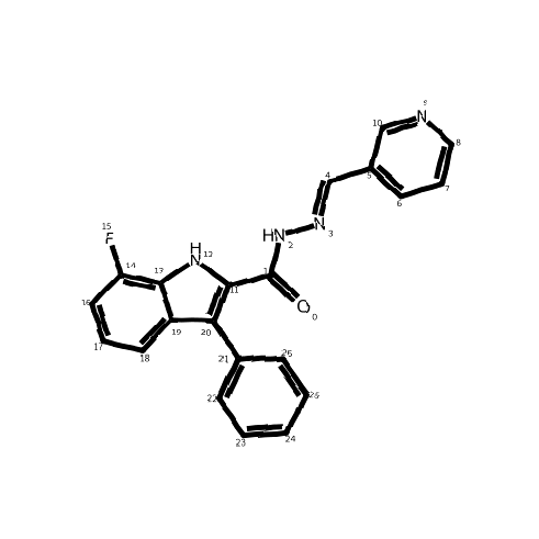 O=C(NN=Cc1cccnc1)c1[nH]c2c(F)cccc2c1-c1ccccc1